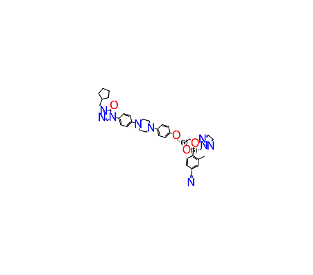 Cc1cc(C#N)ccc1[C@]1(Cn2nccn2)OC[C@@H](COc2ccc(N3CCN(c4ccc(-n5cnn(CC6CCCC6)c5=O)cc4)CC3)cc2)O1